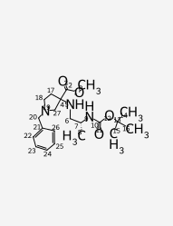 COC(=O)C1(NC[C@@H](C)NC(=O)OC(C)(C)C)CCN(Cc2ccccc2)C1